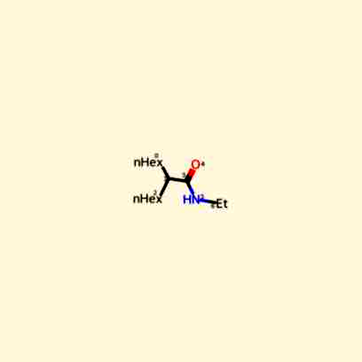 CCCCCCC(CCCCCC)C(=O)NCC